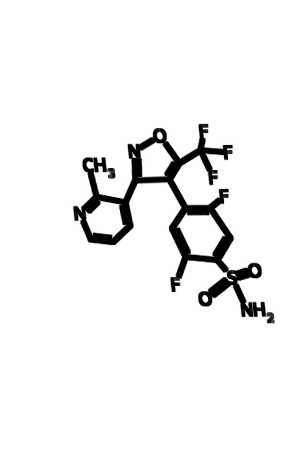 Cc1ncccc1-c1noc(C(F)(F)F)c1-c1cc(F)c(S(N)(=O)=O)cc1F